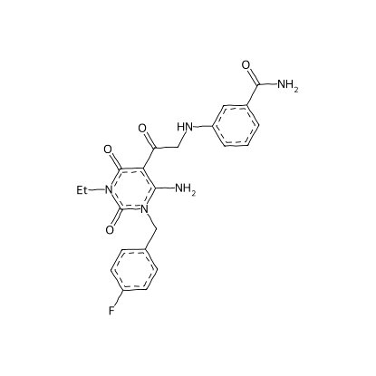 CCn1c(=O)c(C(=O)CNc2cccc(C(N)=O)c2)c(N)n(Cc2ccc(F)cc2)c1=O